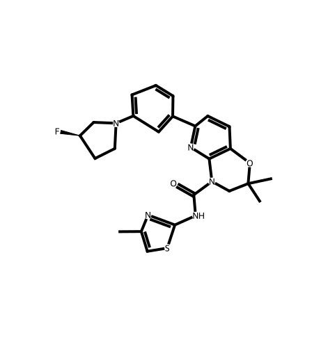 Cc1csc(NC(=O)N2CC(C)(C)Oc3ccc(-c4cccc(N5CC[C@@H](F)C5)c4)nc32)n1